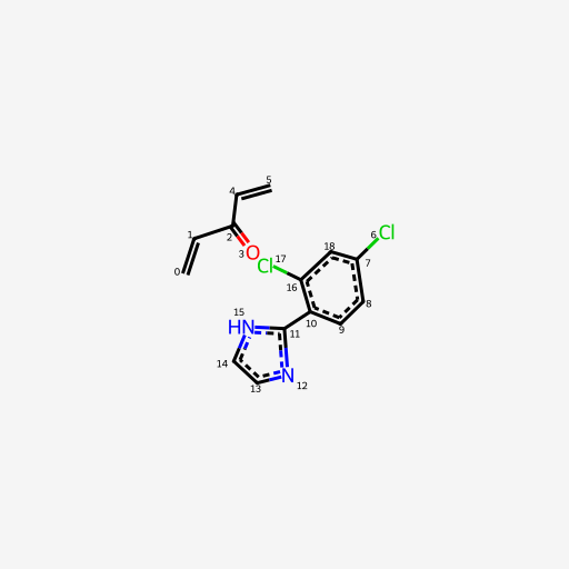 C=CC(=O)C=C.Clc1ccc(-c2ncc[nH]2)c(Cl)c1